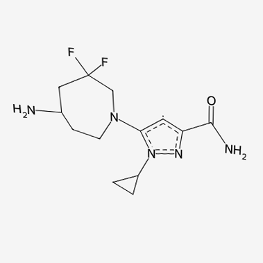 NC(=O)c1[c]c(N2CCC(N)CC(F)(F)C2)n(C2CC2)n1